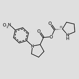 O=C(OC(=O)[C@@H]1CCCN1)C1CCCN1c1ccc([N+](=O)[O-])cc1